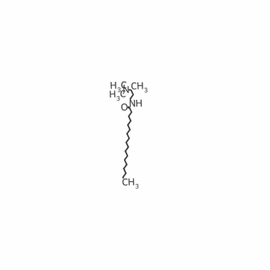 CCCCCCCCCCCCCCCCCC(=O)NCCC(C)N(C)C